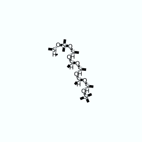 C[SiH](C)O[Si](C)(C)O[SiH](C)O[SiH](C)O[SiH](C)O[SiH](C)O[SiH](C)O[Si](C)(C)C